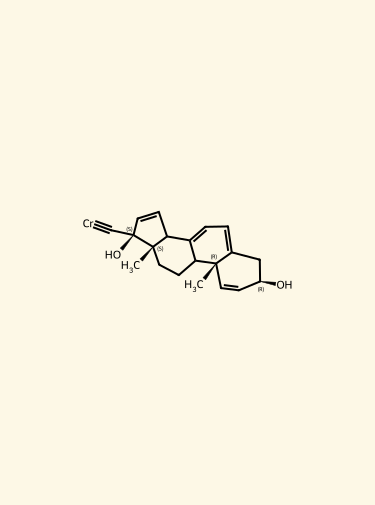 C[C@]12C=C[C@H](O)CC1=CC=C1C2CC[C@@]2(C)C1C=C[C@@]2(O)[C]#[Cr]